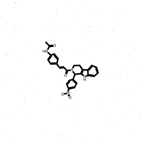 CC(=O)Nc1ccc(C=CC(=O)N2CCc3c([nH]c4ccccc34)C2c2ccc([N+](=O)[O-])cc2)cc1